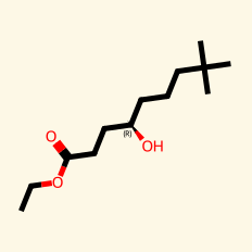 CCOC(=O)CC[C@H](O)CCCC(C)(C)C